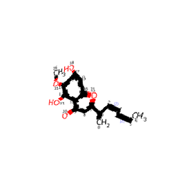 C=C(/C=C\C=C/C)c1cc(=O)c2c(O)c(OC)c(O)cc2o1